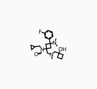 CN(CC1(O)CCC1)CC1(N(C=O)CC2CC2)CC(c2cccc(F)c2)(N(C)C)C1